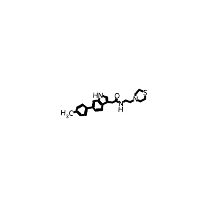 Cc1ccc(-c2ccc3c(CC(=O)NCCN4CCSCC4)c[nH]c3c2)cc1